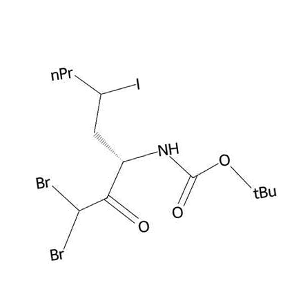 CCCC(I)C[C@H](NC(=O)OC(C)(C)C)C(=O)C(Br)Br